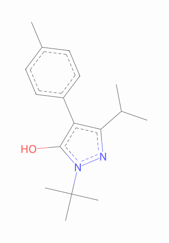 Cc1ccc(-c2c(C(C)C)nn(C(C)(C)C)c2O)cc1